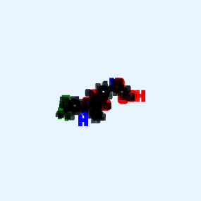 COc1ccc(C2=NOC(CC(=O)O)C2)cc1C(=O)N[C@@H]1C2CCC(/C2=C/C2CCC2)[C@@H]1C(=O)Nc1ccc(F)c(C(F)(F)F)c1